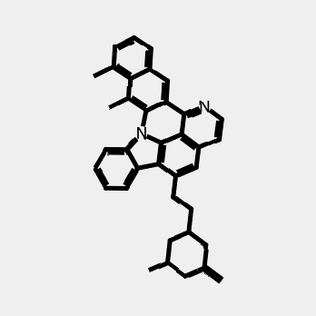 C=C1CC(C)CC(CCc2cc3ccnc4c5cc6cccc(C)c6c(C)c5n5c6ccccc6c2c5c34)C1